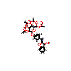 CC(=O)OCC1OC(Oc2ccc(/C=C3\Oc4ccccc4C3=O)cc2)C(OC(C)=O)C(OC(C)=O)C1OC(C)=O